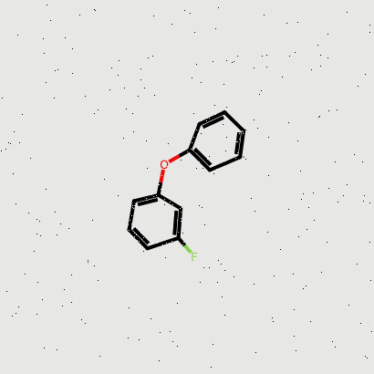 Fc1cccc(Oc2c[c]ccc2)c1